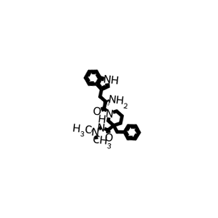 CN(C)NC(=O)C1(Cc2ccccc2)CCCN(C(=O)[C@H](N)Cc2c[nH]c3ccccc23)C1